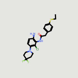 CCSc1ccc(CC(=O)Nc2c(N)ccc(N3CCC(F)(F)CC3)c2Cl)cc1